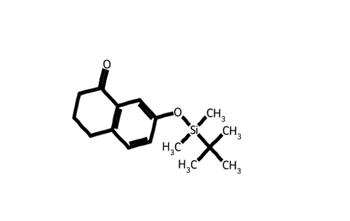 CC(C)(C)[Si](C)(C)Oc1ccc2c(c1)C(=O)CCC2